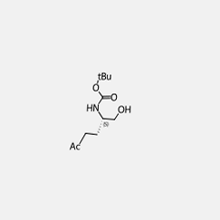 CC(=O)CC[C@@H](CO)NC(=O)OC(C)(C)C